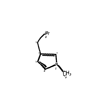 CC(C)Cc1ccn(C)c1